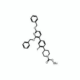 CC(C)(C)OC(=O)N1CCC(c2ccc(-c3ccc(OCc4ccccc4)nc3OCc3ccccc3)cc2F)CC1